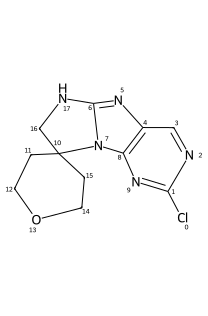 Clc1ncc2nc3n(c2n1)C1(CCOCC1)CN3